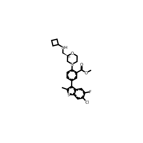 COC(=O)c1cc(-c2c(C)sc3cc(Cl)c(F)cc23)ccc1N1CCO[C@H](CNC2CCC2)C1